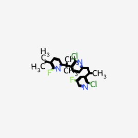 CC(C)c1ccc(C(C)(C)c2ccc(CC(C)c3cc(F)cnc3Cl)nc2Cl)nc1F